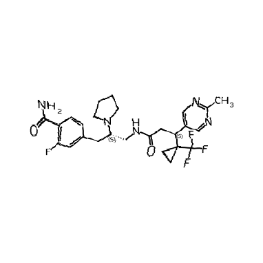 Cc1ncc([C@H](CC(=O)NC[C@H](Cc2ccc(C(N)=O)c(F)c2)N2CCCC2)C2(C(F)(F)F)CC2)cn1